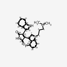 CN(C)CCCn1cc(C2=C(c3c[nH]c4ccccc34)C(=O)NC2=O)c2c(F)cccc21